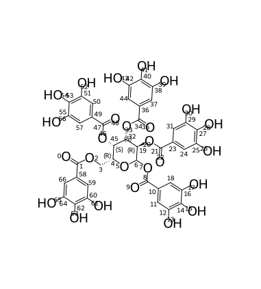 O=C(OC[C@H]1OC(OC(=O)c2cc(O)c(O)c(O)c2)[C@H](OC(=O)c2cc(O)c(O)c(O)c2)[C@@H](OC(=O)c2cc(O)c(O)c(O)c2)[C@H]1OC(=O)c1cc(O)c(O)c(O)c1)c1cc(O)c(O)c(O)c1